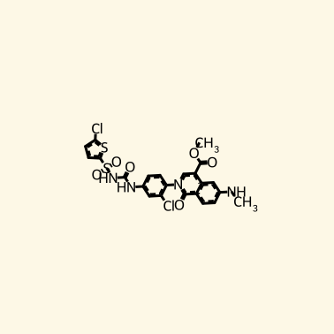 CNc1ccc2c(=O)n(-c3ccc(NC(=O)NS(=O)(=O)c4ccc(Cl)s4)cc3Cl)cc(C(=O)OC)c2c1